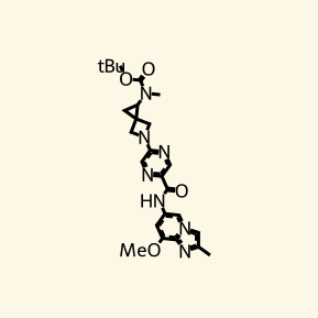 COc1cc(NC(=O)c2cnc(N3CC4(CC4N(C)C(=O)OC(C)(C)C)C3)cn2)cn2cc(C)nc12